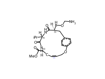 COC(=O)[C@@H]1C/C=C\COc2ccc(cc2)C[C@H](BOCN)C(=O)N[C@@H](C(C)C)C(=O)N1